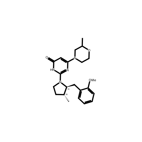 COc1ccccc1C[C@H]1[C@H](C)CCN1c1nc(N2CCOC(C)C2)cc(=O)[nH]1